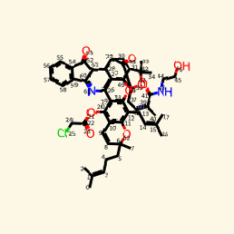 CC(C)=CCCC1(C)C=Cc2c(c(CC=C(C)C)c3c(c2OC(=O)CCl)C2=C4C(C5CC6C(C)(C)OC(C/C=C(/C)C(=O)NCCO)(C5=O)C46O3)C3C(=O)c4ccccc4C3=N2)O1